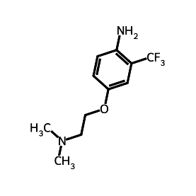 CN(C)CCOc1ccc(N)c(C(F)(F)F)c1